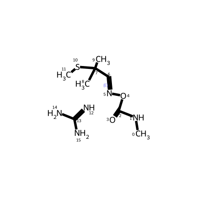 CNC(=O)O/N=C/C(C)(C)SC.N=C(N)N